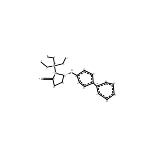 CC[Si](CC)(CC)N1C(=O)CC[C@H]1Cc1ccc(-c2ccccc2)cc1